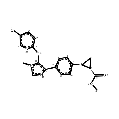 COC(=O)[C@H]1C[C@@H]1c1ccc(-c2ncn(C)c2Sc2ccc(Cl)cn2)cc1